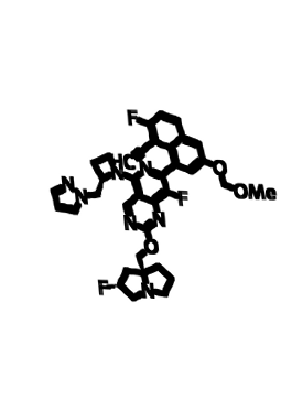 C#Cc1c(F)ccc2cc(OCOC)cc(-c3nc(N4CC[C@@H]4Cn4cccn4)c4cnc(OC[C@@]56CCCN5C[C@H](F)C6)nc4c3F)c12